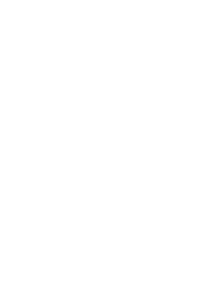 CC(C)(C)c1ccc2c([c]1[Ti]([Cl])[Cl])Cc1ccccc1-2